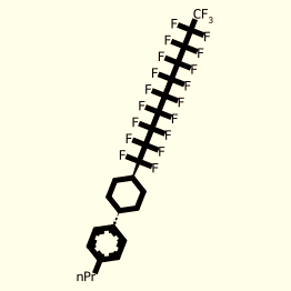 CCCc1ccc([C@H]2CC[C@H](C(F)(F)C(F)(F)C(F)(F)C(F)(F)C(F)(F)C(F)(F)C(F)(F)C(F)(F)C(F)(F)C(F)(F)F)CC2)cc1